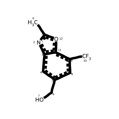 Cc1nc2cc(CO)cc(C(F)(F)F)c2o1